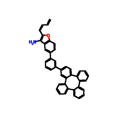 C=C/C=C\c1oc2ccc(-c3cccc(-c4ccc5c(c4)-c4ccccc4-c4ccccc4-c4ccccc4-5)c3)cc2c1N